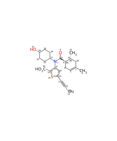 CC1=CC[C@@H](C(=O)N(c2cc(C#CC(C)(C)C)sc2C(=O)O)C2CCC(O)CC2)[C@H](C)C1